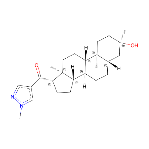 Cn1cc(C(=O)[C@H]2CC[C@H]3[C@@H]4CC[C@H]5C[C@](C)(O)CC[C@]5(C)[C@H]4CC[C@]23C)cn1